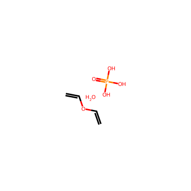 C=COC=C.O.O=P(O)(O)O